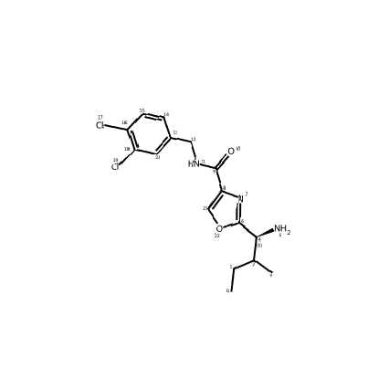 CCC(C)[C@H](N)c1nc(C(=O)NCc2ccc(Cl)c(Cl)c2)co1